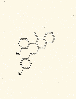 N#Cc1ccc(/C=C/c2nc3ccncc3c(=O)n2-c2cccc(O)c2)cc1